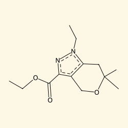 CCOC(=O)c1nn(CC)c2c1COC(C)(C)C2